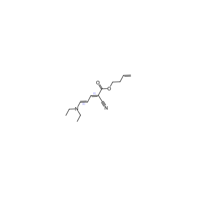 C=CCCOC(=O)/C(C#N)=C/C=C/N(CC)CC